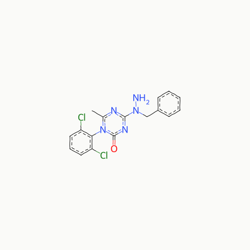 Cc1nc(N(N)Cc2ccccc2)nc(=O)n1-c1c(Cl)cccc1Cl